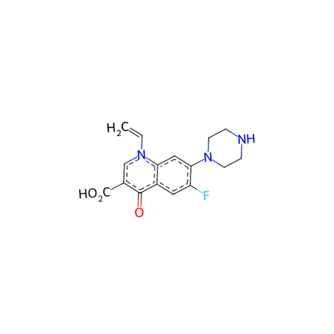 C=Cn1cc(C(=O)O)c(=O)c2cc(F)c(N3CCNCC3)cc21